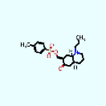 CCCN1CCC[C@H]2CC(=O)/C(=C/OS(=O)(=O)c3ccc(C)cc3)C[C@@H]21